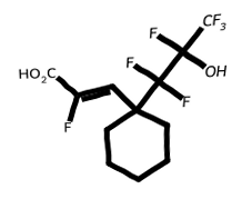 O=C(O)C(F)=CC1(C(F)(F)C(O)(F)C(F)(F)F)CCCCC1